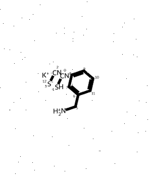 N#CS.N#C[S-].NCc1ccccc1.[K+]